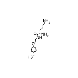 NCCCCC(N)C(=O)NCCOc1ccc(CS)cc1